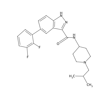 CC(C)CN1CCC(NC(=O)c2n[nH]c3ccc(-c4cccc(F)c4F)cc23)CC1